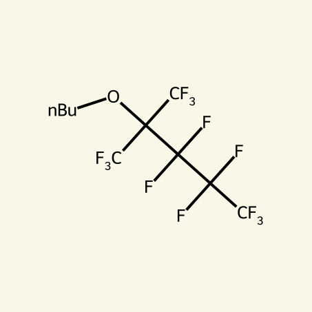 CCCCOC(C(F)(F)F)(C(F)(F)F)C(F)(F)C(F)(F)C(F)(F)F